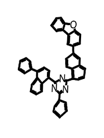 c1ccc(-c2nc(-c3cccc4cc(-c5ccc6oc7ccccc7c6c5)ccc34)nc(-c3ccc(-c4ccccc4)c4ccccc34)n2)cc1